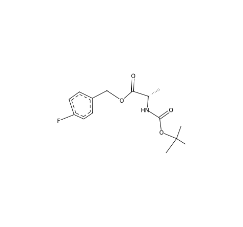 C[C@H](NC(=O)OC(C)(C)C)C(=O)OCc1ccc(F)cc1